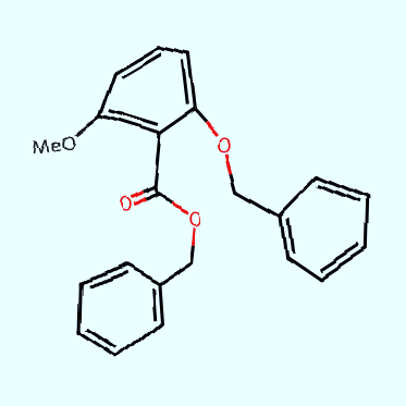 COc1cccc(OCc2ccccc2)c1C(=O)OCc1ccccc1